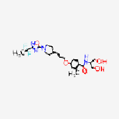 Cc1cc(OCCCC2CCN(c3nc(C(C)(F)F)no3)CC2)ccc1C(=O)NC(CO)CO